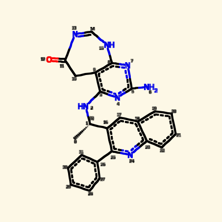 C[C@H](Nc1nc(N)nc2c1CC(=O)N=CN2)c1cc2ccccc2nc1-c1ccccc1